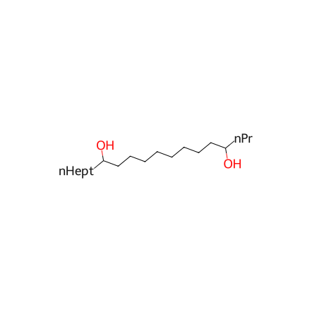 CCCCCCCC(O)CCCCCCCCC(O)CCC